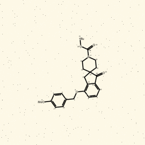 COc1ccc(COc2cccc3c2CC2(CCN(C(=O)OC(C)(C)C)CC2)C3=O)cc1